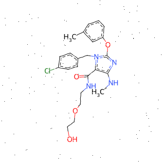 CNc1nc(Oc2cccc(C)c2)n(Cc2ccc(Cl)cc2)c1C(=O)NCCOCCO